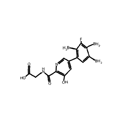 Bc1cc(-c2cnc(C(=O)NCC(=O)O)c(O)c2)c(B)c(F)c1B